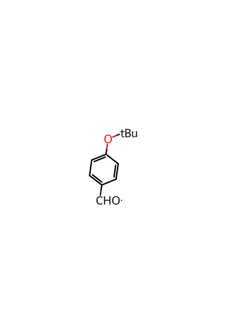 CC(C)(C)Oc1ccc([C]=O)cc1